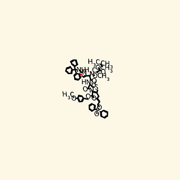 COc1ccc(COC(=O)C2=C(C/C=C/COP(=O)(c3ccccc3)c3ccccc3)CS[C@H]3[C@H](NC(=O)/C(=N\OC(C)(C)C(=O)OC(C)(C)C)c4csc(NC(c5ccccc5)(c5ccccc5)c5ccccc5)n4)C(=O)N23)cc1